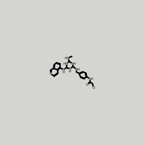 CNC1NC(NCc2ccc(NC(=O)CCl)cc2)NC(Nc2cccc3cnccc23)N1